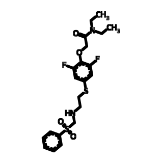 CCN(CC)C(=O)COc1c(F)cc(SCCNCS(=O)(=O)c2ccccc2)cc1F